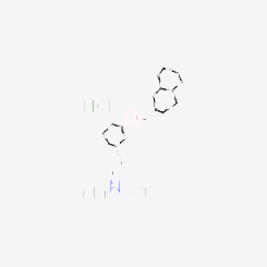 CCCN(CCC)CCc1cccc(OCc2ccc3ccccc3c2)c1.Cl